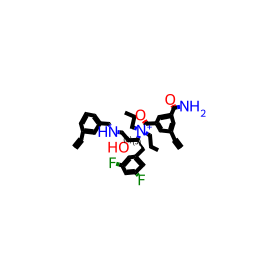 C#Cc1cccc(CNC[C@@H](O)[C@H](Cc2cc(F)cc(F)c2)[N+](CCC)(CCC)C(=O)c2cc(C#C)cc(C(N)=O)c2)c1